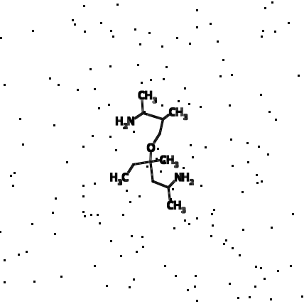 CCC(C)(CC(C)N)OCC(C)C(C)N